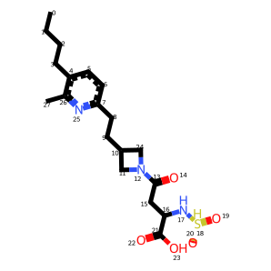 CCCCc1ccc(CCC2CN(C(=O)CC(N[SH](=O)=O)C(=O)O)C2)nc1C